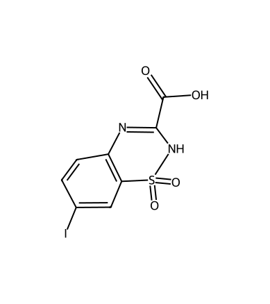 O=C(O)C1=Nc2ccc(I)cc2S(=O)(=O)N1